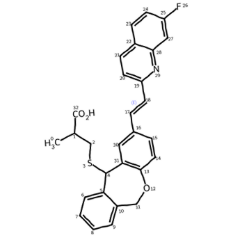 CC(CSC1c2ccccc2COc2ccc(/C=C/c3ccc4ccc(F)cc4n3)cc21)C(=O)O